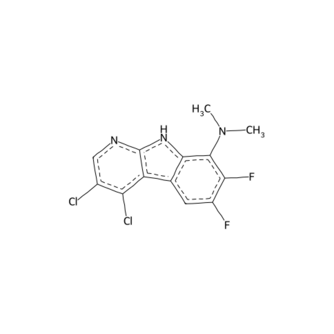 CN(C)c1c(F)c(F)cc2c1[nH]c1ncc(Cl)c(Cl)c12